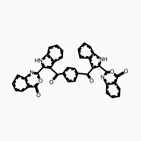 O=C(c1ccc(C(=O)c2c(-c3nc4ccccc4c(=O)o3)[nH]c3ccccc23)cc1)c1c(-c2nc3ccccc3c(=O)o2)[nH]c2ccccc12